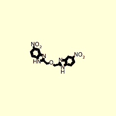 O=[N+]([O-])c1ccc2[nH]c(COCc3nc4cc([N+](=O)[O-])ccc4[nH]3)nc2c1